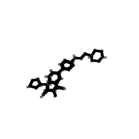 Cn1c(=O)c2nc(-c3ccc(OCCN4CCOCC4)cc3)nnc2n(C2CCCC2)c1=O